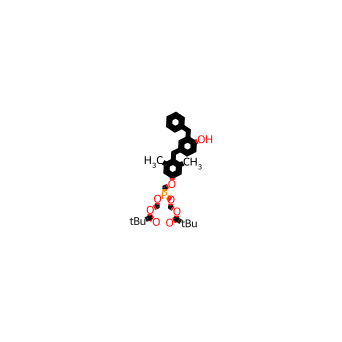 Cc1cc(OCP(OCOC(=O)C(C)(C)C)OCOC(=O)C(C)(C)C)cc(C)c1Cc1ccc(O)c(Cc2ccccc2)c1